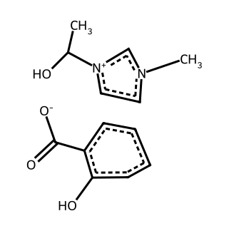 CC(O)[n+]1ccn(C)c1.O=C([O-])c1ccccc1O